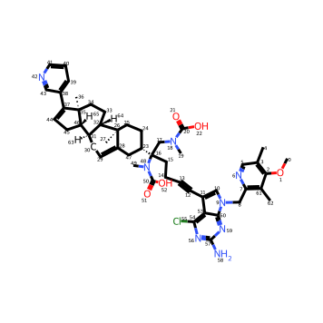 COc1c(C)cnc(Cn2cc(C#CCCC(CN(C)C(=O)O)([C@H]3CC[C@@]4(C)C(=CC[C@@H]5[C@@H]4CC[C@]4(C)C(c6cccnc6)=CC[C@@H]54)C3)N(C)C(=O)O)c3c(Cl)nc(N)nc32)c1C